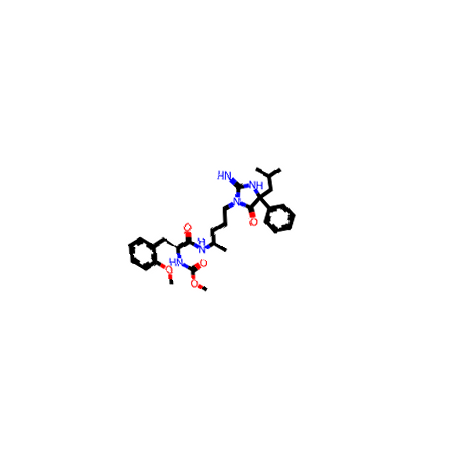 COC(=O)N[C@@H](Cc1ccccc1OC)C(=O)NC(C)CCCN1C(=N)NC(CC(C)C)(c2ccccc2)C1=O